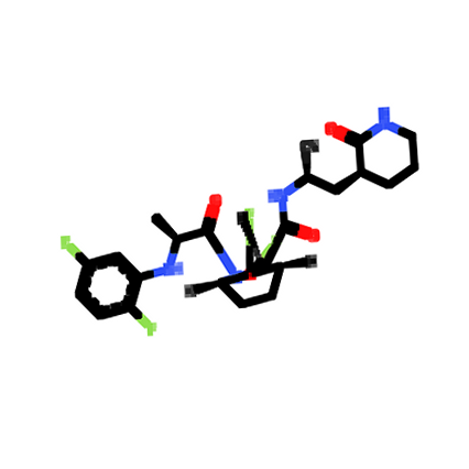 C[C@H](Nc1cc(F)ccc1F)C(=O)N1[C@H]2CC[C@@H]([C@@H]1C(=O)N[C@@H](C#N)C[C@@H]1CCCNC1=O)C(F)(F)C2